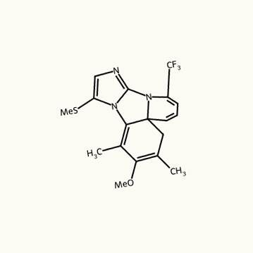 COC1=C(C)CC23C=CC=C(C(F)(F)F)N2c2ncc(SC)n2C3=C1C